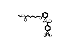 CCOC(=O)CCCCCOc1ccccc1N(C)C(=O)c1ccc([N+](=O)[O-])cc1